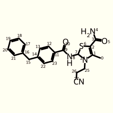 CC1=C(C(N)=O)SC(NC(=O)c2ccc(Cc3ccccc3)cc2)N1CCC#N